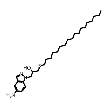 CCCCCCCCCCCCCCCCCCSCC(O)Cn1ncc2cc(N)ccc21